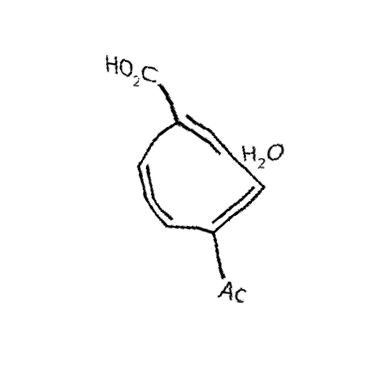 CC(=O)c1ccc(C(=O)O)cc1.O